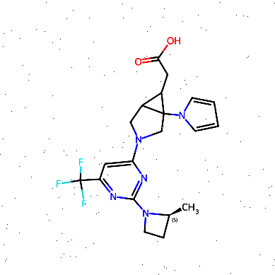 C[C@H]1CCN1c1nc(N2CC3C(CC(=O)O)C3(n3cccc3)C2)cc(C(F)(F)F)n1